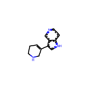 C1=C(c2c[nH]c3ccncc23)CNCC1